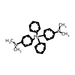 CN(C)c1cc[c]([Pb]([c]2ccccc2)([c]2ccccc2)[c]2ccc(N(C)C)cc2)cc1